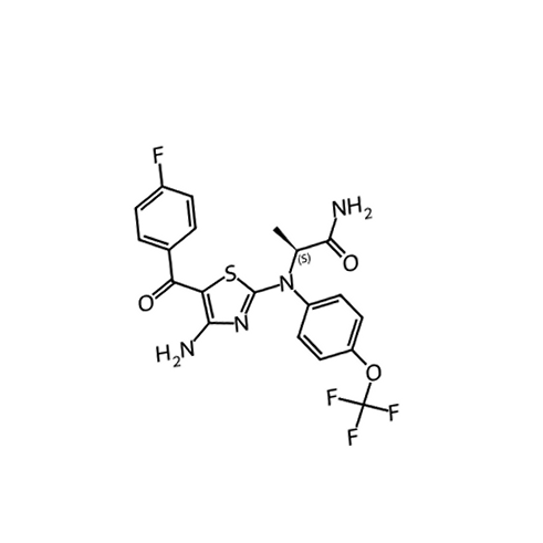 C[C@@H](C(N)=O)N(c1ccc(OC(F)(F)F)cc1)c1nc(N)c(C(=O)c2ccc(F)cc2)s1